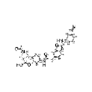 CC(=O)N1CC(C(=O)O)C(c2ccc(NC(=O)Cc3ccc4nc(Nc5cccc(C#N)c5)oc4c3)cc2)C1